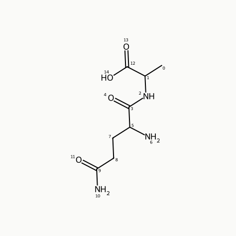 CC(NC(=O)C(N)CCC(N)=O)C(=O)O